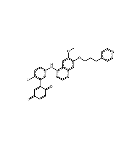 COc1cc2c(Nc3ccc(Cl)c(C4=CC(=O)C=CC4=O)c3)ncnc2cc1OCCCc1ccncc1